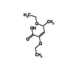 CCOC(=CC(C)OCC)C(=O)O